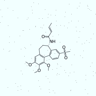 C/C=C/C(=O)N[C@H]1CCc2cc(OC)c(OC)c(OC)c2-c2ccc(S(C)(=O)=O)cc21